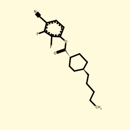 CCCCC[C@H]1CC[C@H](C(=O)Oc2ccc(C#N)c(F)c2F)CC1